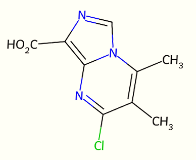 Cc1c(Cl)nc2c(C(=O)O)ncn2c1C